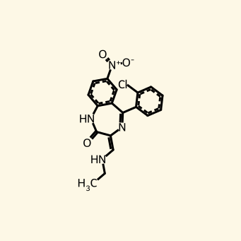 CCNC=C1N=C(c2ccccc2Cl)c2cc([N+](=O)[O-])ccc2NC1=O